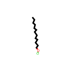 CCCCCCCCCCCCCOCl